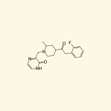 CC1CC(C(=O)Cc2ccccc2F)CCN1Cc1ncc[nH]c1=O